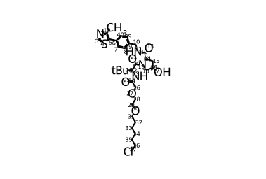 Cc1ncsc1-c1ccc(CNC(=O)[C@@H]2C[C@@H](O)CN2C(=O)C(NC(=O)COCCOCCCCCCCl)C(C)(C)C)cc1